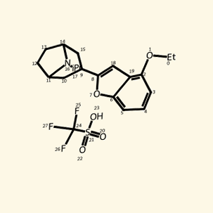 CCOc1cccc2oc(C3CC4CCC(C3)N4C(C)C)cc12.O=S(=O)(O)C(F)(F)F